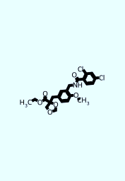 CCOC(=O)C1(Cc2ccc(OC)c(CNC(=O)c3ccc(Cl)cc3Cl)c2)COCO1